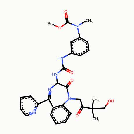 CN(C(=O)OC(C)(C)C)c1cccc(NC(=O)NC2N=C(c3ccccn3)c3ccccc3N(CC(=O)C(C)(C)CO)C2=O)c1